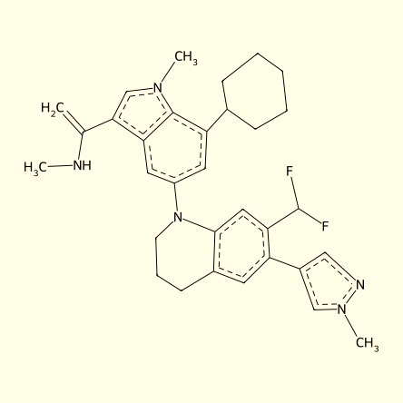 C=C(NC)c1cn(C)c2c(C3CCCCC3)cc(N3CCCc4cc(-c5cnn(C)c5)c(C(F)F)cc43)cc12